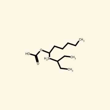 CCCCCC(OC(=O)O)[SiH2]C(CC)CC